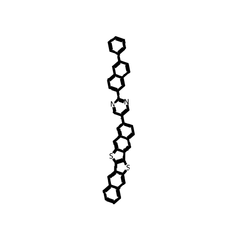 c1ccc(-c2ccc3cc(-c4ncc(-c5ccc6cc7c(cc6c5)sc5c6cc8ccccc8cc6sc75)cn4)ccc3c2)cc1